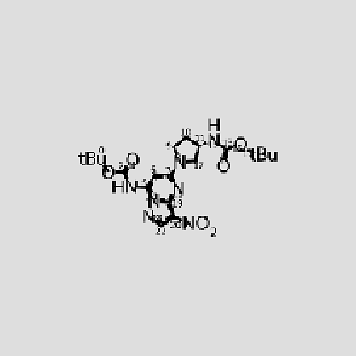 CC(C)(C)OC(=O)Nc1cc(N2CC[C@H](NC(=O)OC(C)(C)C)C2)nc2c([N+](=O)[O-])cnn12